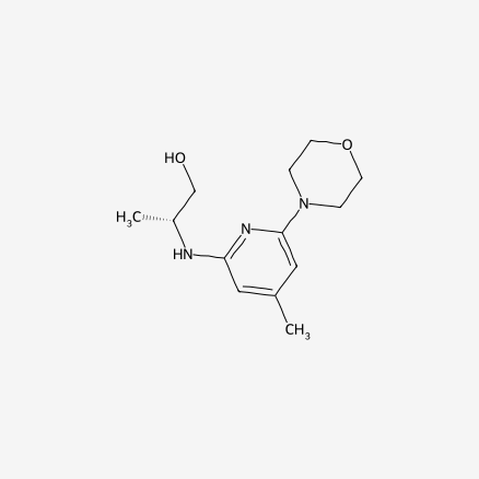 Cc1cc(N[C@H](C)CO)nc(N2CCOCC2)c1